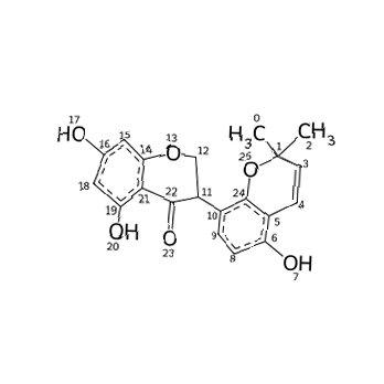 CC1(C)C=Cc2c(O)ccc(C3COc4cc(O)cc(O)c4C3=O)c2O1